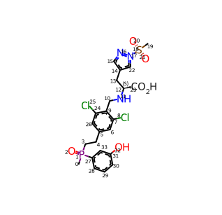 CP(=O)(CCc1cc(Cl)c(CN[C@@H](Cc2cnn(S(C)(=O)=O)c2)C(=O)O)c(Cl)c1)c1cccc(O)c1